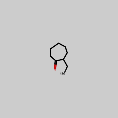 CC(C)(C)CC1CCCCCC1=O